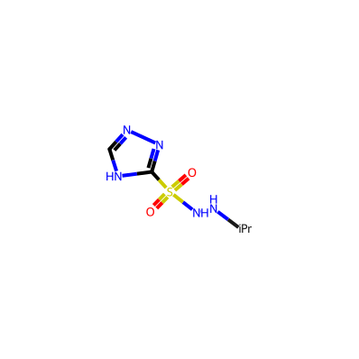 CC(C)NNS(=O)(=O)c1nnc[nH]1